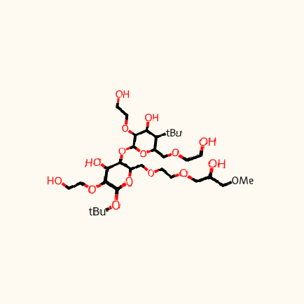 COCC(O)COCCOCC1OC(OC(C)(C)C)C(OCCO)C(O)C1OC1OC(COCCO)C(C(C)(C)C)C(O)C1OCCO